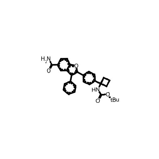 CC(C)(C)OC(=O)NC1(c2ccc(-c3oc4ccc(C(N)=O)cc4c3-c3ccccc3)cc2)CCC1